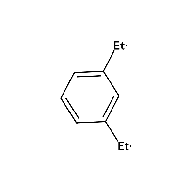 C[CH]c1cccc([CH]C)c1